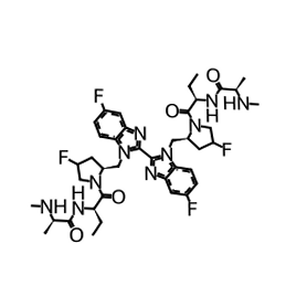 CC[C@@H](NC(=O)[C@@H](C)NC)C(=O)N1CC(F)C[C@H]1Cn1c(-c2nc3cc(F)ccc3n2C[C@@H]2CC(F)CN2C(=O)[C@@H](CC)NC(=O)[C@@H](C)NC)nc2cc(F)ccc21